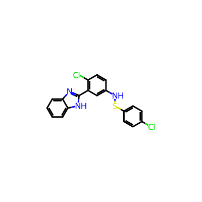 Clc1ccc(SNc2ccc(Cl)c(-c3nc4ccccc4[nH]3)c2)cc1